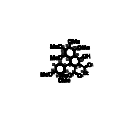 CCC(=O)c1c(C(=O)OC)c(-c2ccc(OC)c(OC)c2)c2c(OC)c(OC)c(OC)c(OC)c2c1O